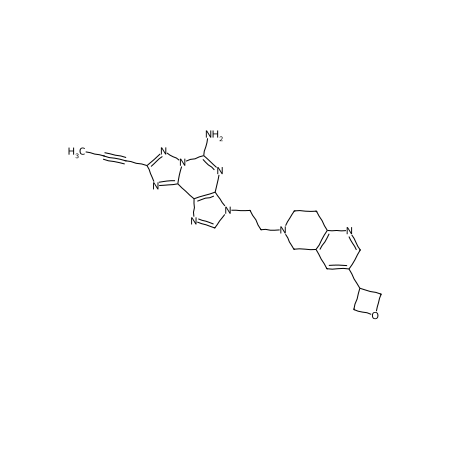 CC#Cc1nc2c3ncn(CCN4CCc5ncc(C6COC6)cc5C4)c3nc(N)n2n1